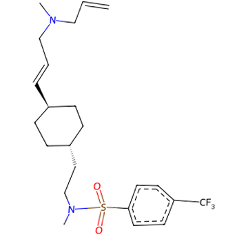 C=CCN(C)CC=C[C@H]1CC[C@H](CCN(C)S(=O)(=O)c2ccc(C(F)(F)F)cc2)CC1